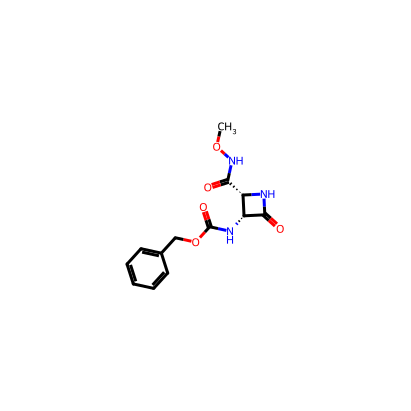 CONC(=O)[C@@H]1NC(=O)[C@@H]1NC(=O)OCc1ccccc1